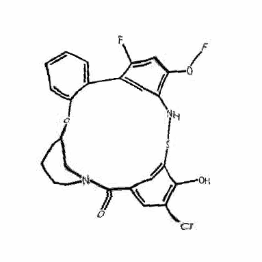 O=C1c2cc(Cl)c(O)c(c2)SNc2cc(c(F)cc2OF)-c2ccccc2OC2CCN1C2